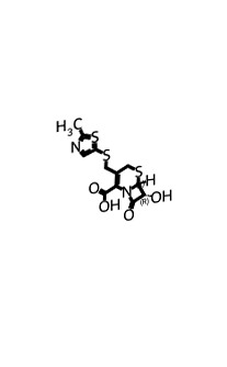 Cc1ncc(SCC2=C(C(=O)O)N3C(=O)[C@@H](O)[C@H]3SC2)s1